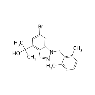 Cc1cccc(C)c1Cn1ncc2c(C(C)(C)O)cc(Br)cc21